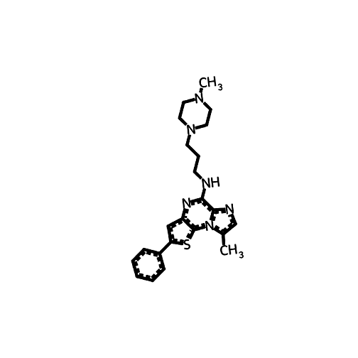 Cc1cnc2c(NCCCN3CCN(C)CC3)nc3cc(-c4ccccc4)sc3n12